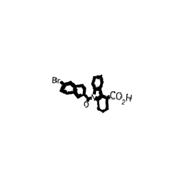 O=C(O)C1CCCc2c1c1ccccc1n2C(=O)c1ccc2cc(Br)ccc2c1